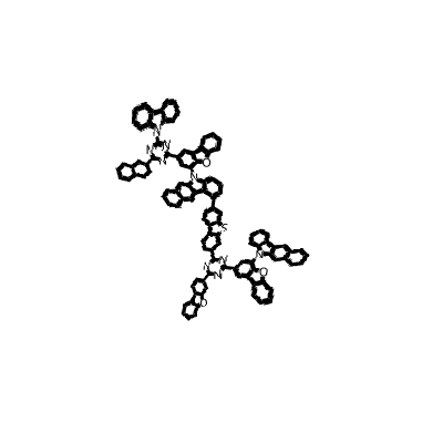 c1ccc2cc(-c3nc(-c4cc(-n5c6cc7ccccc7cc6c6c(-c7ccc8c(c7)sc7cc(-c9nc(-c%10ccc%11c(c%10)oc%10ccccc%10%11)nc(-c%10cc(-n%11c%12ccccc%12c%12cc%13ccccc%13cc%12%11)c%11oc%12ccccc%12c%11c%10)n9)ccc78)cccc65)c5oc6ccccc6c5c4)nc(-n4c5ccccc5c5ccccc54)n3)ccc2c1